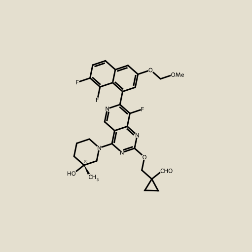 COCOc1cc(-c2ncc3c(N4CCC[C@@](C)(O)C4)nc(OCC4(C=O)CC4)nc3c2F)c2c(F)c(F)ccc2c1